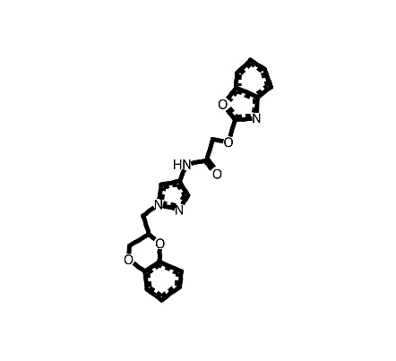 O=C(COc1nc2ccccc2o1)Nc1cnn(CC2COc3ccccc3O2)c1